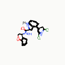 CC(C)n1c(C(=O)NC2CCOc3ccccc32)cc2c(-c3cc(Cl)nc(Cl)c3)cccc21